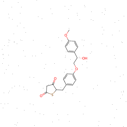 COc1ccc([C@H](O)COc2ccc(CC3SC(=O)CC3=O)cc2)cc1